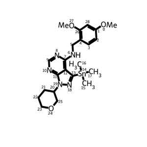 COc1ccc(CNc2ncnc3c2[c]([Sn]([CH3])([CH3])[CH3])nn3C2CCCOC2)c(OC)c1